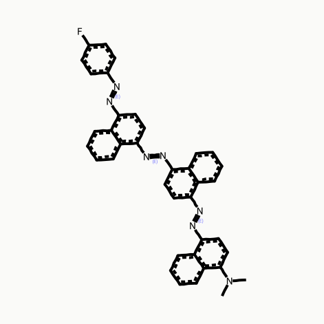 CN(C)c1ccc(/N=N/c2ccc(/N=N/c3ccc(/N=N/c4ccc(F)cc4)c4ccccc34)c3ccccc23)c2ccccc12